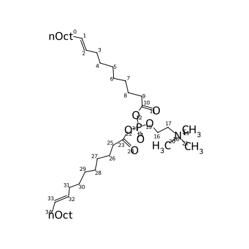 CCCCCCCCC=CCCCCCCCC(=O)OP(=O)(OCC[N+](C)(C)C)OC(=O)CCCCCCCC=CCCCCCCCC